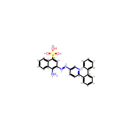 Nc1c(N=Nc2ccc(-c3ccccc3-c3ccccc3)nc2)cc(S(=O)(=O)O)c2ccccc12